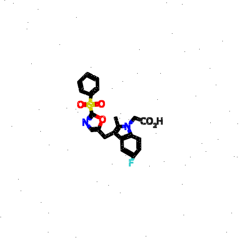 Cc1c(Cc2cnc(S(=O)(=O)c3ccccc3)o2)c2cc(F)ccc2n1CC(=O)O